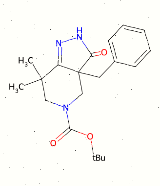 CC(C)(C)OC(=O)N1CC(C)(C)C2=NNC(=O)C2(Cc2ccccc2)C1